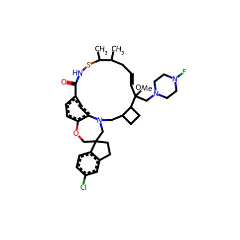 COC1(CN2CCN(F)CC2)/C=C/CC(C)C(C)SNC(=O)c2ccc3c(c2)N(CC2CCC21)CC1(CCc2cc(Cl)ccc21)CO3